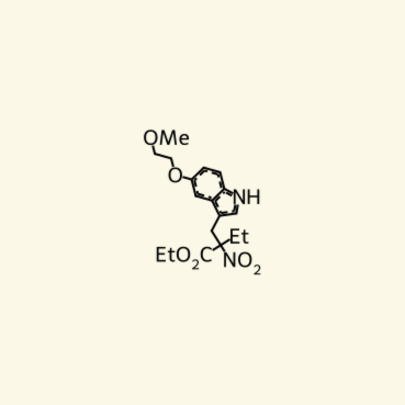 CCOC(=O)C(CC)(Cc1c[nH]c2ccc(OCCOC)cc12)[N+](=O)[O-]